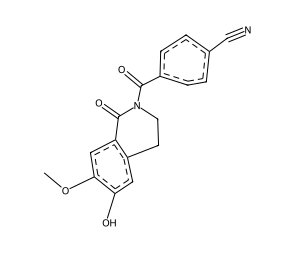 COc1cc2c(cc1O)CCN(C(=O)c1ccc(C#N)cc1)C2=O